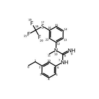 CCc1cccc(NC(=N)N(C)c2cccc(SC(F)(F)F)c2)c1